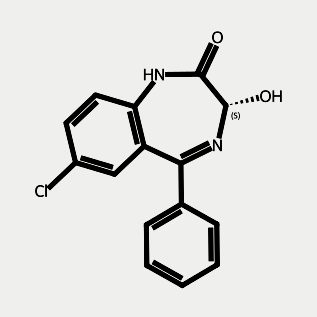 O=C1Nc2ccc(Cl)cc2C(c2ccccc2)=N[C@H]1O